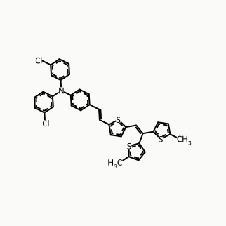 Cc1ccc(C(=Cc2ccc(C=Cc3ccc(N(c4cccc(Cl)c4)c4cccc(Cl)c4)cc3)s2)c2ccc(C)s2)s1